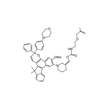 C=C(C)COCCNC(=O)O/C=C1/CCCN(c2cc3c4c(c5c(c3cc2OC)OC(c2ccccc2)(c2ccc(N3CCOCC3)cc2)C=C5)C(C)(C)c2ccccc2-4)C1